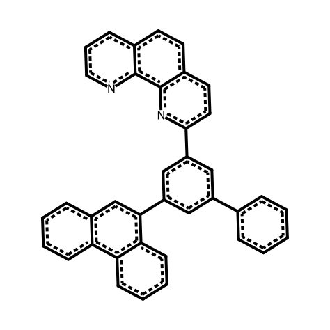 c1ccc(-c2cc(-c3ccc4ccc5cccnc5c4n3)cc(-c3cc4ccccc4c4ccccc34)c2)cc1